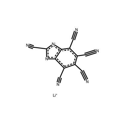 N#Cc1nc2c(C#N)c(C#N)c(C#N)c(C#N)c2[n-]1.[Li+]